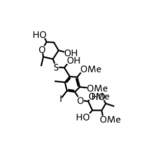 COc1c(OC(OC)C(O)C(OC)C(C)O)c(I)c(C)c(C(O)SC2C(O)CC(O)OC2C)c1OC